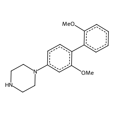 COc1ccccc1-c1ccc(N2CCNCC2)cc1OC